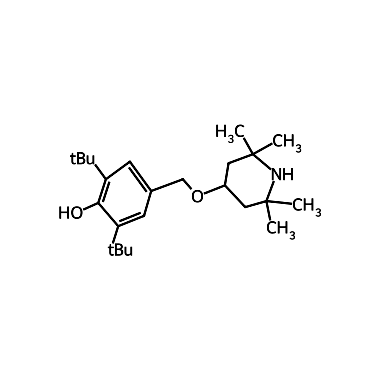 CC1(C)CC(OCc2cc(C(C)(C)C)c(O)c(C(C)(C)C)c2)CC(C)(C)N1